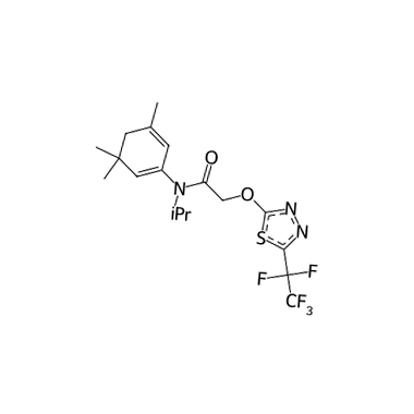 CC1=CC(N(C(=O)COc2nnc(C(F)(F)C(F)(F)F)s2)C(C)C)=CC(C)(C)C1